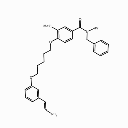 COc1cc(C(=O)N(Cc2ccccc2)C(C)C)ccc1OCCCCCOc1cccc(C=NN)c1